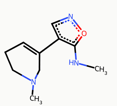 CNc1oncc1C1=CCCN(C)C1